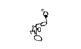 O=C1/C(=C\c2cccc(-c3cccc(F)c3)c2)SC(=S)N1C1CCCCCC1